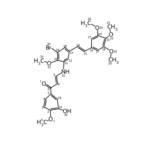 COc1ccc(C(=O)C=CNc2cc(C=Cc3cc(OC)c(OC)c(OC)c3)cc(Br)c2OC)cc1O